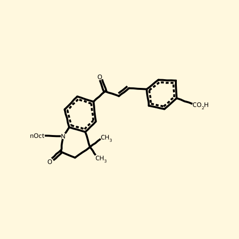 CCCCCCCCN1C(=O)CC(C)(C)c2cc(C(=O)C=Cc3ccc(C(=O)O)cc3)ccc21